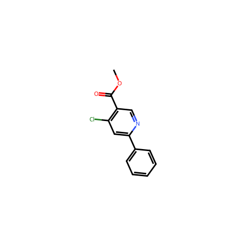 COC(=O)c1cnc(-c2ccccc2)cc1Cl